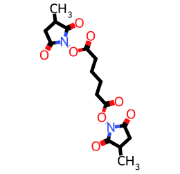 CC1CC(=O)N(OC(=O)CCCCC(=O)ON2C(=O)CC(C)C2=O)C1=O